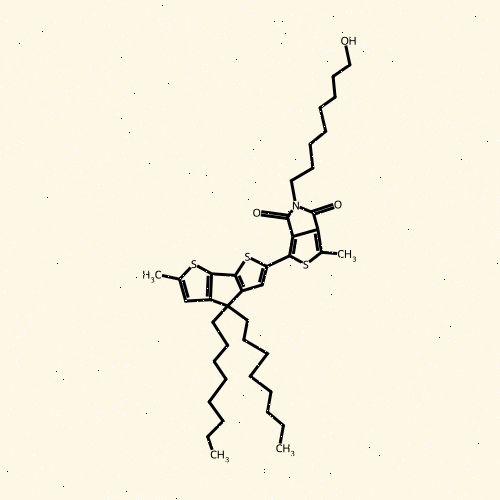 CCCCCCCCC1(CCCCCCCC)c2cc(C)sc2-c2sc(-c3sc(C)c4c3C(=O)N(CCCCCCCCO)C4=O)cc21